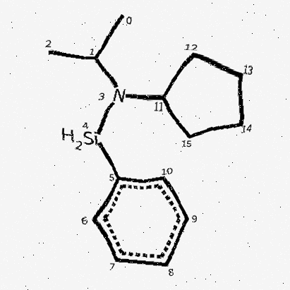 CC(C)N([SiH2]c1ccccc1)C1CCCC1